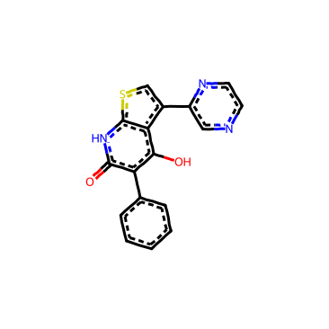 O=c1[nH]c2scc(-c3cnccn3)c2c(O)c1-c1ccccc1